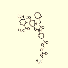 CCOC(=O)OCOC(=O)c1ccc(NC(=O)[C@H](Cc2ccccc2)n2cc(OC)c(-c3cc(Cl)ccc3C(C)=O)cc2=O)cc1